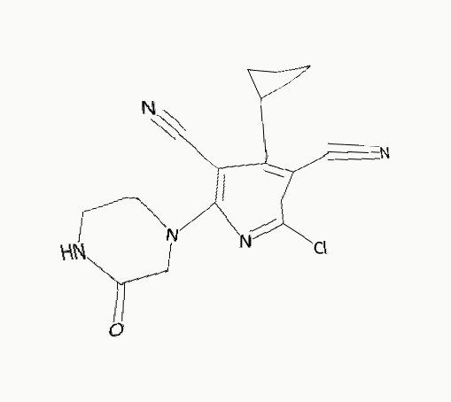 N#Cc1c(Cl)nc(N2CCNC(=O)C2)c(C#N)c1C1CC1